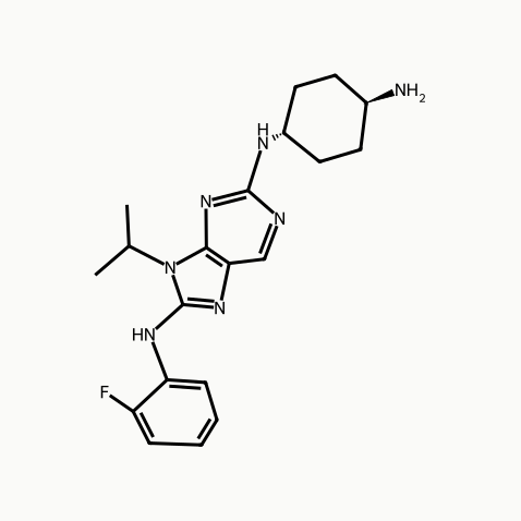 CC(C)n1c(Nc2ccccc2F)nc2cnc(N[C@H]3CC[C@H](N)CC3)nc21